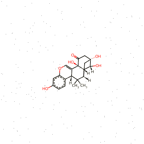 CC1(C)[C@H]2C(=COc3cc(O)ccc32)[C@]2(O)C(=O)C[C@]3(O)C[C@H]1[C@H]2[C@H]3O